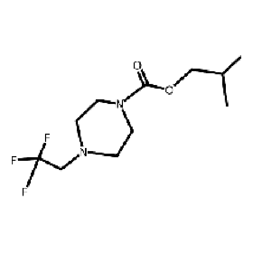 CC(C)COC(=O)N1CCN(CC(F)(F)F)CC1